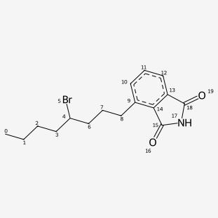 CCCCC(Br)CCCc1cccc2c1C(=O)NC2=O